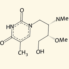 CN[C@@H](Cn1cc(C)c(=O)[nH]c1=O)[C@@H](CO)OC